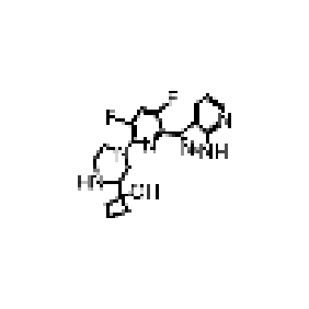 OC1(C2CN(c3nc(-c4n[nH]c5ncccc45)c(F)cc3F)CCN2)CCC1